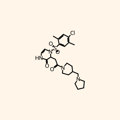 Cc1cc(S(=O)(=O)N2C=CNC(=O)C2CC(=O)N2CCC(CN3CCCC3)CC2)c(C)cc1Cl